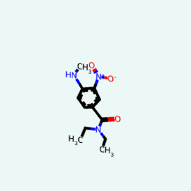 CCN(CC)C(=O)c1ccc(NC)c([N+](=O)[O-])c1